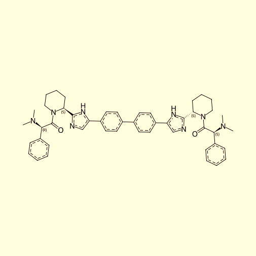 CN(C)[C@H](C(=O)N1CCCC[C@H]1c1ncc(-c2ccc(-c3ccc(-c4cnc([C@@H]5CCCCN5C(=O)[C@@H](c5ccccc5)N(C)C)[nH]4)cc3)cc2)[nH]1)c1ccccc1